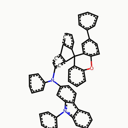 c1ccc(-c2ccc3c(c2)C2(c4ccccc4O3)c3ccccc3-c3ccc(N(c4ccccc4)c4ccc5c6ccccc6n(-c6ccccc6)c5c4)cc32)cc1